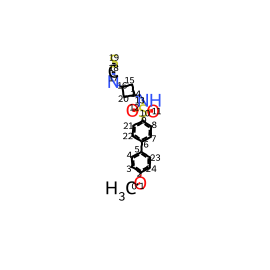 COc1ccc(-c2ccc(S(=O)(=O)NC3CC(N=C=S)C3)cc2)cc1